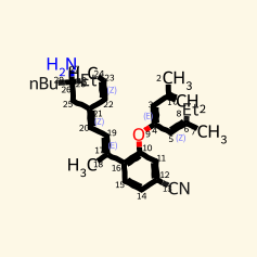 C=C(C)/C=C(\C=C(\C)CC)Oc1cc(C#N)ccc1/C(C)=C/C=C(\C=C/C)CC(N)(CC)CCCC